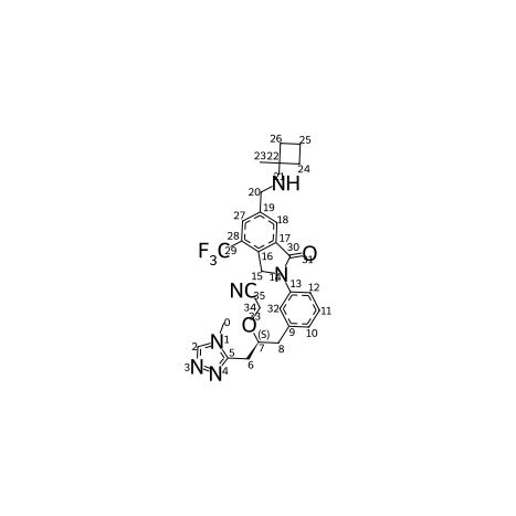 Cn1cnnc1C[C@H](Cc1cccc(N2Cc3c(cc(CNC4(C)CCC4)cc3C(F)(F)F)C2=O)c1)OCC#N